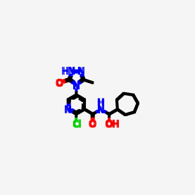 Cc1n[nH]c(=O)n1-c1cnc(Cl)c(C(=O)NC(O)C2CCCCCC2)c1